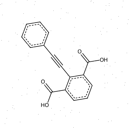 O=C(O)c1cccc(C(=O)O)c1C#Cc1ccccc1